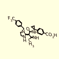 CC(=N)/C(C(=O)NC1(c2ccc(C(=O)O)cc2)CC1)=C1\NCCN1Cc1ccc(C(F)(F)F)cc1